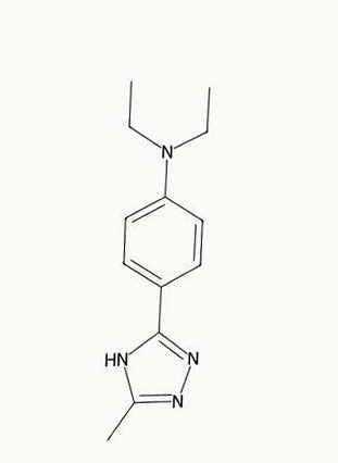 CCN(CC)c1ccc(-c2nnc(C)[nH]2)cc1